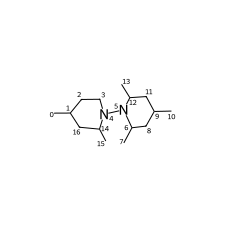 CC1CCN(N2C(C)CC(C)CC2C)C(C)C1